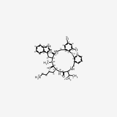 CC(C)C1NCc2cccnc2Sc2c(Cl)cc(Cl)cc2CNC(=O)C(Cc2c[nH]c3ccccc23)N(C)C(=O)[C@H](CCCCN)NC1=O